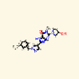 CCCn1c(N2CCC(O)C2)nc2nc(-c3cnn(Cc4cccc(C(F)(F)F)c4)c3)[nH]c2c1=O